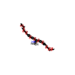 C=CC(=O)OCC(C)OC(=O)CCC(=O)OCCc1ccc(OC(=O)[C@H]2CC[C@H](C(=O)Oc3ccc(OC(=O)[C@H]4CC[C@H](C(=O)Oc5ccc(CCOC(=O)CCC(=O)OCC(C)OC(C)COC(=O)C=C)cc5)CC4)c4c3SC(=C(C#N)C#N)N4)CC2)cc1